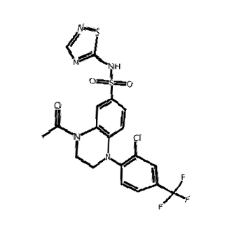 CC(=O)N1CCN(c2ccc(C(F)(F)F)cc2Cl)c2ccc(S(=O)(=O)Nc3ncns3)cc21